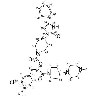 CN1CCN(C2CCN(C(=O)[C@@H](Cc3ccc(Cl)c(Cl)c3)OC(=O)N3CCC(n4cc(-c5ccccc5)[nH]c4=O)CC3)CC2)CC1